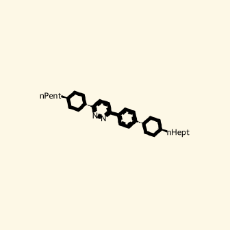 CCCCCCC[C@H]1CC[C@H](c2ccc(-c3ccc([C@H]4CC[C@H](CCCCC)CC4)nn3)cc2)CC1